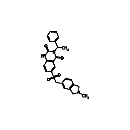 CC(c1ccccc1)n1c(=O)[nH]c2ccc(S(=O)(=O)Cc3ccc4c(c3)CN(C)C4)cc2c1=O